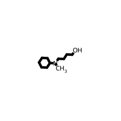 CN(CCCCO)C1CCCCC1